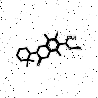 Cc1c(I)c([C@H](OC(C)(C)C)C(=O)O)c(C)c2c1CN(C1CCCCC1(C)C)C(=O)C2